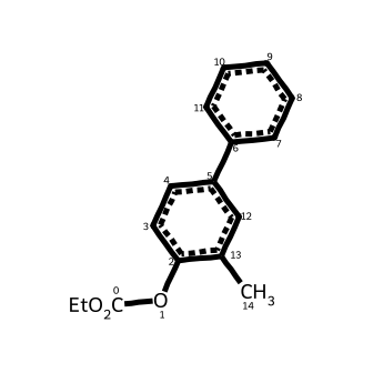 CCOC(=O)Oc1ccc(-c2ccccc2)cc1C